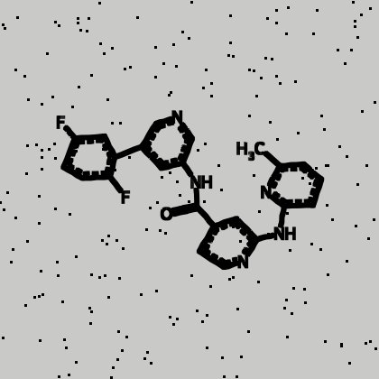 Cc1cccc(Nc2cc(C(=O)Nc3cncc(-c4cc(F)ccc4F)c3)ccn2)n1